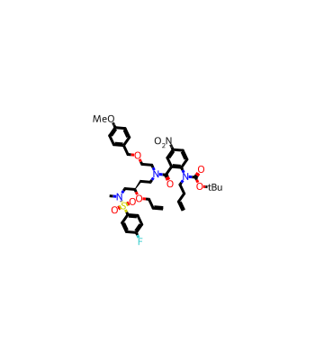 C=CCCN(C(=O)OC(C)(C)C)c1ccc([N+](=O)[O-])cc1C(=O)N(CCOCc1ccc(OC)cc1)CC[C@H](CN(C)S(=O)(=O)c1ccc(F)cc1)OCC=C